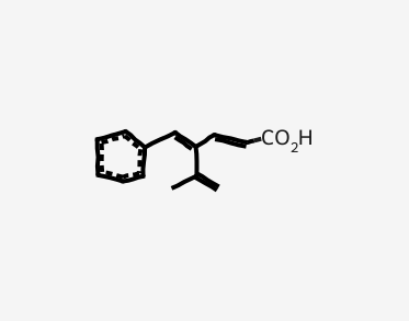 C=C(C)C(C=CC(=O)O)=Cc1ccccc1